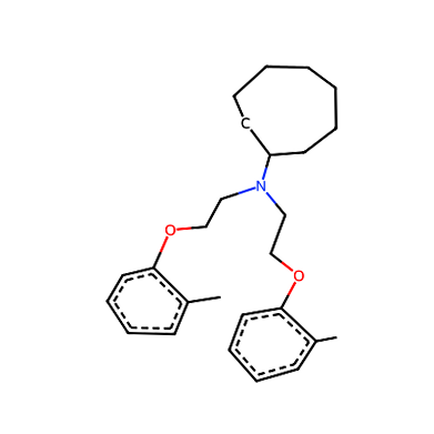 Cc1ccccc1OCCN(CCOc1ccccc1C)C1CCCCCCC1